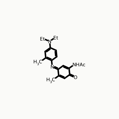 CCN(CC)c1ccc(/N=C2\C=C(NC(C)=O)C(=O)C=C2C)c(C)c1